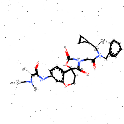 CC(C)[C@H](C(=O)Nc1ccc2c(c1)OCCC21OC(=O)N(CC(=O)N(Cc2ccccc2)[C@@H](C)C2CC2)C1=O)N(C(=O)O)C(C)(C)C